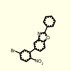 O=[N+]([O-])c1ccc(Br)cc1-c1ccc2oc(-c3ccccc3)nc2c1